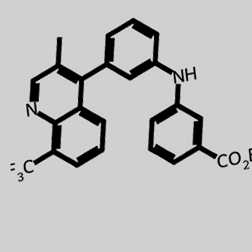 CCOC(=O)c1cccc(Nc2cccc(-c3c(C)cnc4c(C(F)(F)F)cccc34)c2)c1